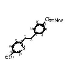 CCCCCCCCCOc1ccc(CCc2ccc(CC)cn2)cc1